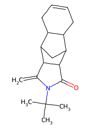 C=C1C2C3CC(C4CC=CCC43)C2C(=O)N1C(C)(C)C